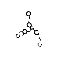 Cc1cc(Cc2c(-c3ccc(OCCN4CCCC4)nc3)sc3cc(OCc4ccccc4)ccc23)ccc1CN1CCCC1